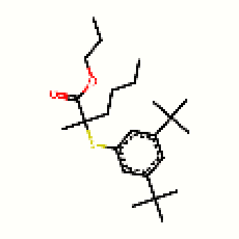 CCCCC(C)(Sc1cc(C(C)(C)C)cc(C(C)(C)C)c1)C(=O)OCCC